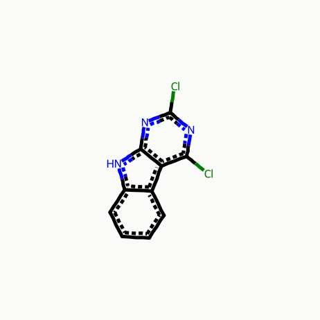 Clc1nc(Cl)c2c(n1)[nH]c1ccccc12